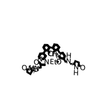 CCOc1nc(-c2cccc(-c3cccc(-c4ccn5c(=O)c(CNC[C@H]6CCC(=O)N6)cnc5c4)c3C)c2Cl)ccc1CNC[C@H]1CCC(=O)N1